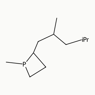 CC(C)CC(C)CC1CCP1C